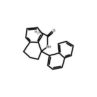 CC(=O)NC1(c2cccc3ccccc23)CCCc2ccccc21